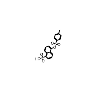 Cc1ccc(S(=O)(=O)Oc2cccc3c(S(=O)(=O)O)cccc23)cc1